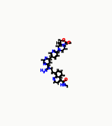 CNC(=O)c1ccnc2c(CCN(N)c3cc(-c4ccc(N5CCN6C(=O)OC[C@@H]6C5)nc4)ncn3)cccc12